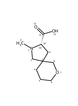 CN1CC2(CCCOC2)C[C@H]1C(=O)O